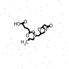 C=CCN(CC1CN2C(=O)CC2O1)OC(=O)CCC(=O)O